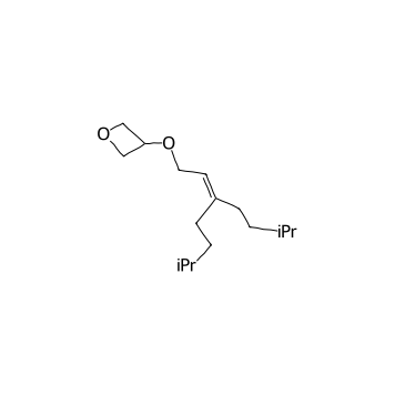 CC(C)CCC(=CCOC1COC1)CCC(C)C